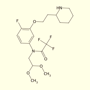 COC(CN(C(=O)C(F)(F)F)c1ccc(F)c(OCCC2CCCCN2)c1)OC